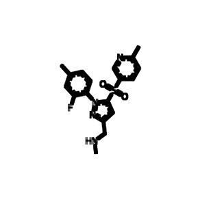 CNCc1cc(S(=O)(=O)c2ccc(C)nc2)n(-c2ccc(C)cc2F)n1